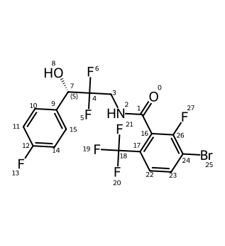 O=C(NCC(F)(F)[C@@H](O)c1ccc(F)cc1)c1c(C(F)(F)F)ccc(Br)c1F